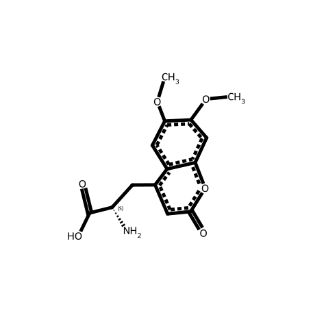 COc1cc2oc(=O)cc(C[C@H](N)C(=O)O)c2cc1OC